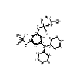 Cl[CH2][Pd].FC(F)(F)Oc1cc(OC(F)(F)F)cc(P(C2CCCCC2)C2CCCCC2)c1